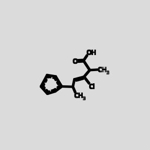 CC(C(=O)O)C(Cl)=CC(C)c1ccccc1